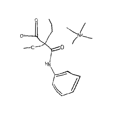 CCC(CC)(C(=O)[O-])C(=O)Nc1ccccc1.C[N+](C)(C)C